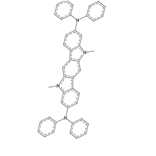 Cn1c2cc(N(c3ccccc3)c3ccccc3)ccc2c2cc3c(cc21)c1ccc(N(c2ccccc2)c2ccccc2)cc1n3C